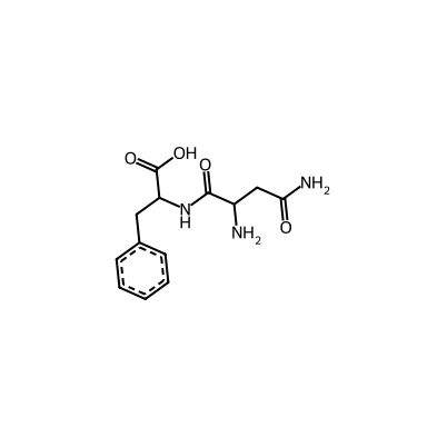 NC(=O)CC(N)C(=O)NC(Cc1ccccc1)C(=O)O